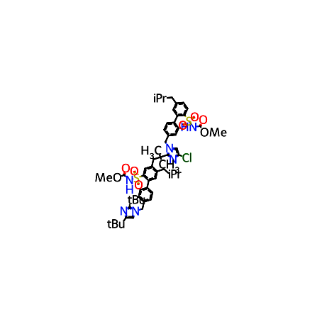 COC(=O)NS(=O)(=O)c1ccc(CC(C)C)cc1-c1ccc(Cn2cc(Cl)nc2C(C)(C)Cc2cc(S(=O)(=O)NC(=O)OC)c(-c3ccc(Cn4cc(C(C)(C)C)nc4C(C)(C)C)cc3)cc2CC(C)C)cc1